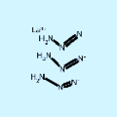 [La+3].[N-]=NN.[N-]=NN.[N-]=NN